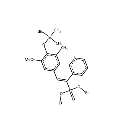 CCOP(=O)(OCC)/C(=C/c1cc(C)c(O[Si](C)(C)C(C)(C)C)c(OC)c1)c1cccnc1